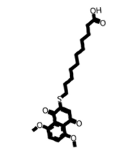 COc1ccc(OC)c2c1C(=O)C=C(SCCCCCCCCCCC(=O)O)C2=O